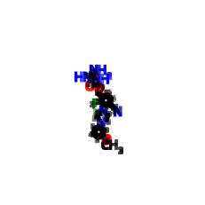 COc1cccc(N2CCN(c3c(C#N)ccc(COC(=O)NC(=N)N)c3F)CC2)c1